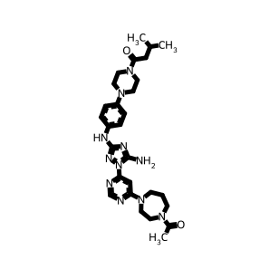 CC(=O)N1CCCN(c2cc(-n3nc(Nc4ccc(N5CCN(C(=O)CC(C)C)CC5)cc4)nc3N)ncn2)CC1